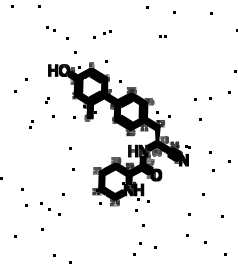 Cc1cc(O)ccc1-c1ccc(C[C@@H](C#N)NC(=O)C2CCCCN2)cc1